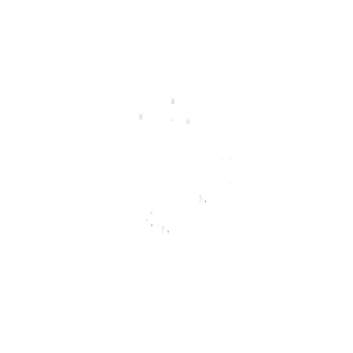 CC(C)[Si](OC1CC(S(=O)(=O)C2(CN3CCc4c(C(=O)O)nn(C)c4C3=O)CC2)C1)(C(C)C)C(C)C